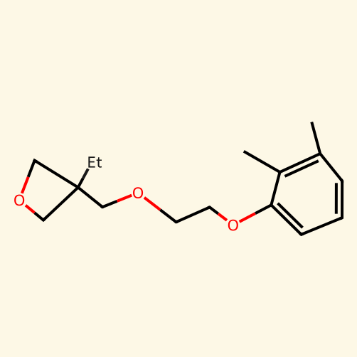 CCC1(COCCOc2cccc(C)c2C)COC1